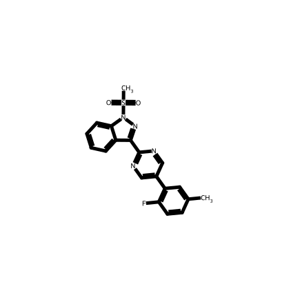 Cc1ccc(F)c(-c2cnc(-c3nn(S(C)(=O)=O)c4cc[c]cc34)nc2)c1